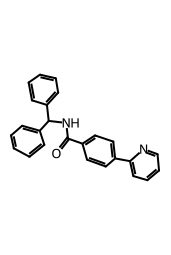 O=C(NC(c1ccccc1)c1ccccc1)c1ccc(-c2ccccn2)cc1